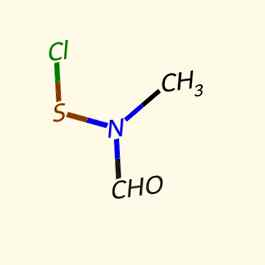 CN(C=O)SCl